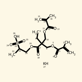 C=C(C)C(=O)OCC(CC)(COC(=O)C(=C)C)C(=O)OCC(C)S(=O)(=O)O.[KH]